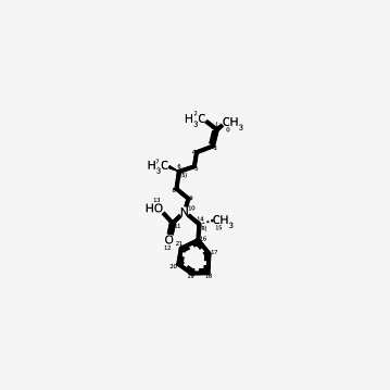 CC(C)=CCC[C@H](C)CCN(C(=O)O)[C@H](C)c1ccccc1